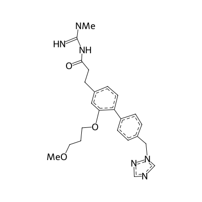 CNC(=N)NC(=O)CCc1ccc(-c2ccc(Cn3cncn3)cc2)c(OCCCOC)c1